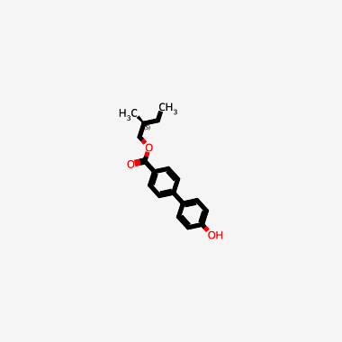 CC[C@H](C)COC(=O)c1ccc(-c2ccc(O)cc2)cc1